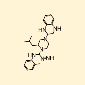 Cc1ccccc1NC(N=N)N1CCN(C2CNc3ccccc3N2)CC1CC(C)C